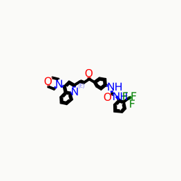 O=C(Nc1ccc(C(=O)/C=C/c2cc(N3CCOCC3)c3ccccc3n2)cc1)Nc1ccccc1C(F)(F)F